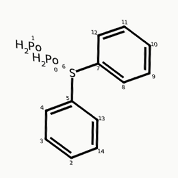 [PoH2].[PoH2].c1ccc(Sc2ccccc2)cc1